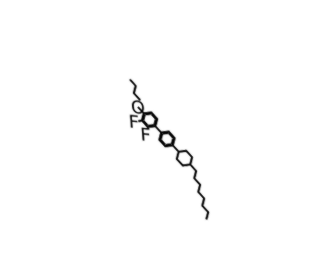 CCCCCCCCC1CCC(c2ccc(-c3ccc(OCCCC)c(F)c3F)cc2)CC1